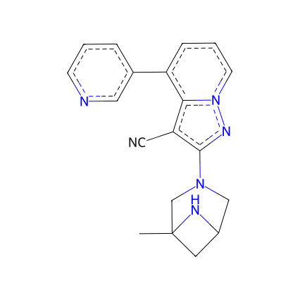 CC12CC(CN(c3nn4cccc(-c5cccnc5)c4c3C#N)C1)N2